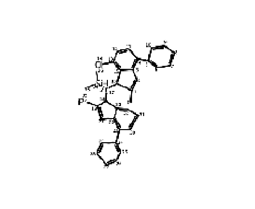 CC1=Cc2c(-c3ccccc3)ccc(Cl)c2[CH]1[Zr]([CH]1C(C(C)C)=Cc2c(-c3ccccc3)cccc21)[SiH](C)C